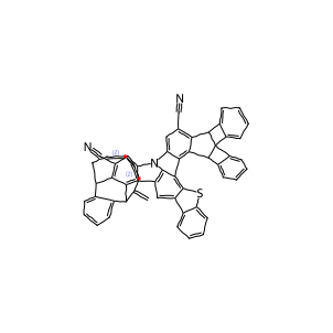 C=C1/C=C\C=C/CC2c3ccccc3C1c1c2c(C#N)cc2c1c1cc3c4ccccc4sc3c3c4c5c(c(C#N)cc4n2c13)C1c2ccccc2C12c1ccccc1C52